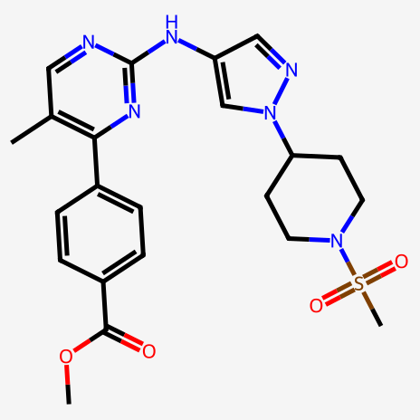 COC(=O)c1ccc(-c2nc(Nc3cnn(C4CCN(S(C)(=O)=O)CC4)c3)ncc2C)cc1